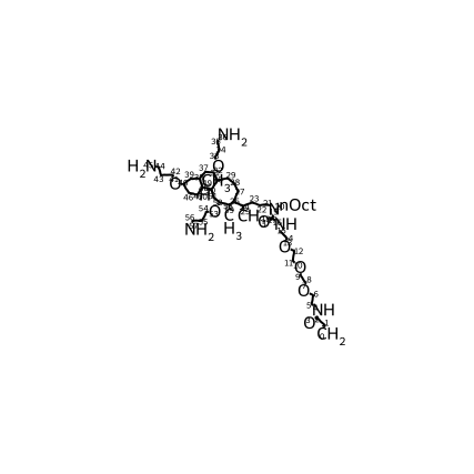 C=CC(=O)NCCOCCOCCOCCNC(=O)N(CCCCCCCC)CCCC(C)C1CCCC2C(OCCCN)CC3C[C@H](OCCCN)CC[C@]3(C)[C@H]2C[C@H](OCCCN)[C@@H]1C